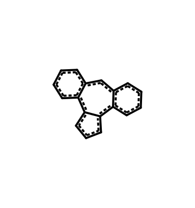 c1cc2c3ccccc3cc3ccccc3c-2c1